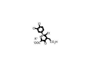 CCc1c(CC(=O)O)c(=O)c(C(=O)[O-])nn1-c1ccc(Cl)c(Cl)c1.[K+]